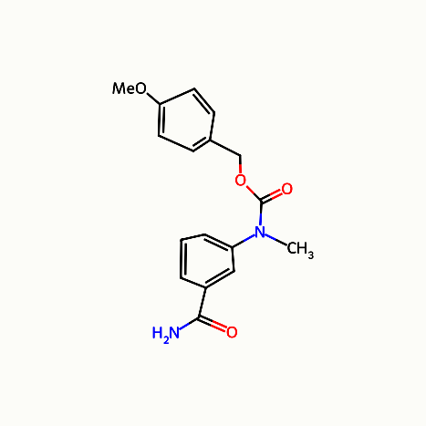 COc1ccc(COC(=O)N(C)c2cccc(C(N)=O)c2)cc1